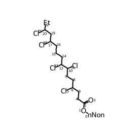 CCCCCCCCCOC(=O)CCC(Cl)CCC(Cl)C(Cl)CCCC(Cl)CC(Cl)CC